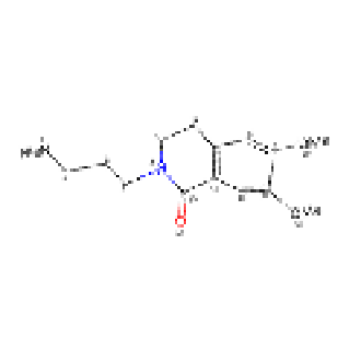 CNCCCN1CCc2cc(OC)c(OC)cc2C1=O